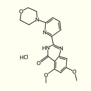 COc1cc(OC)c2c(=O)[nH]c(-c3cccc(N4CCOCC4)n3)nc2c1.Cl